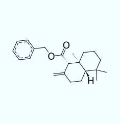 C=C1CC[C@H]2C(C)(C)CCC[C@]2(C)[C@H]1C(=O)OCc1ccccc1